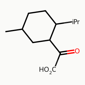 CC1CCC(C(C)C)C(C(=O)C(=O)O)C1